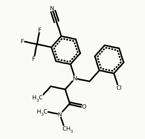 CCC(C(=O)N(C)C)N(Cc1ccccc1Cl)c1ccc(C#N)c(C(F)(F)F)c1